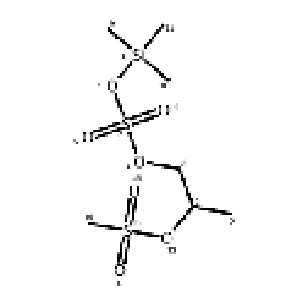 CC(COS(=O)(=O)O[Si](C)(C)C)OS(C)(=O)=O